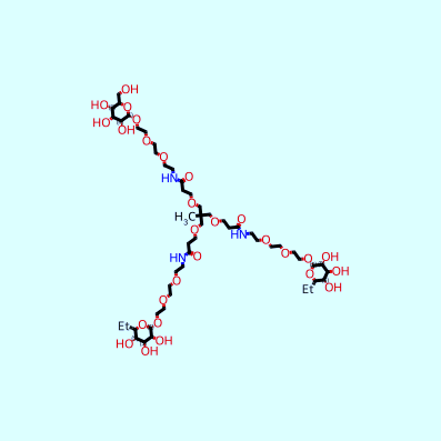 CCC1O[C@H](OCCOCCOCCNC(=O)CCOCC(C)(COCCC(=O)NCCOCCOCCO[C@H]2OC(CC)[C@@H](O)[C@H](O)C2O)COCCC(=O)NCCOCCOCCO[C@H]2OC(CO)[C@@H](O)C(O)[C@H]2O)[C@H](O)C(O)[C@@H]1O